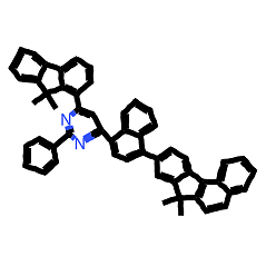 CC1(C)c2cc(-c3ccc(-c4cc(-c5cccc6c5C(C)(C)c5ccccc5-6)nc(-c5ccccc5)n4)c4ccccc34)ccc2-c2c1ccc1ccccc21